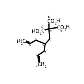 C=CCC(CC=C)CC(C(=O)O)(C(=O)O)C(=O)O